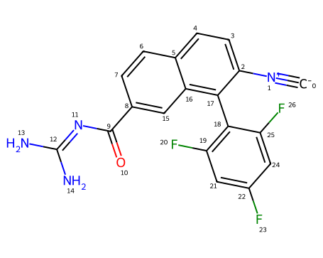 [C-]#[N+]c1ccc2ccc(C(=O)N=C(N)N)cc2c1-c1c(F)cc(F)cc1F